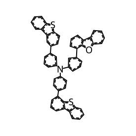 c1cc(-c2ccc3sc4ccccc4c3c2)cc(N(c2ccc(-c3cccc4c3sc3ccccc34)cc2)c2cccc(-c3cccc4c3oc3ccccc34)c2)c1